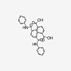 O=C(O)c1ccc(C(=O)O)c2c(C(=O)Nc3ccccc3)ccc(C(=O)Nc3ccccc3)c12